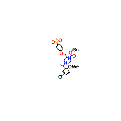 COc1ccc(Cl)cc1C(C)N1CCN(C(=O)OC(C)(C)C)C(COc2ccc(S(C)(=O)=O)cc2)C1